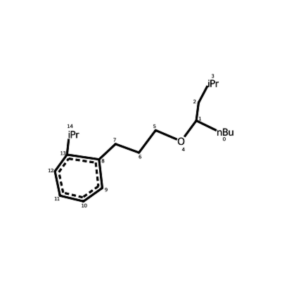 CCCCC(CC(C)C)OCCCc1ccccc1C(C)C